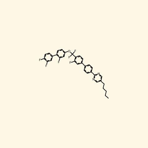 CCCCCc1cnc(-c2ccc(-c3ccc(C(F)(F)Oc4ccc(-c5ccc(F)c(F)c5)c(F)c4)c(F)c3)cc2)nc1